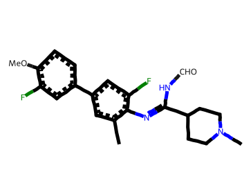 COc1ccc(-c2cc(C)c(/N=C(\NC=O)C3CCN(C)CC3)c(F)c2)cc1F